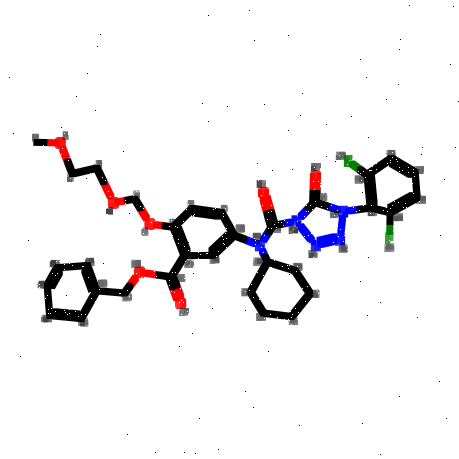 COCCOCOc1ccc(N(C(=O)n2nnn(-c3c(F)cccc3F)c2=O)C2CCCCC2)cc1C(=O)OCc1ccccc1